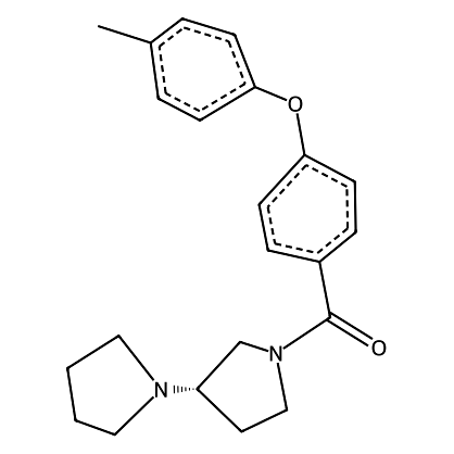 Cc1ccc(Oc2ccc(C(=O)N3CC[C@H](N4CCCC4)C3)cc2)cc1